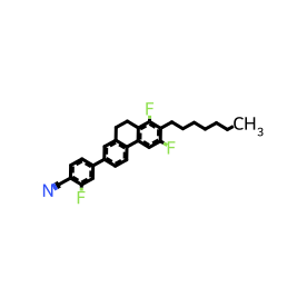 CCCCCCCc1c(F)cc2c(c1F)CCc1cc(-c3ccc(C#N)c(F)c3)ccc1-2